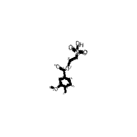 COc1cc(C(=O)OCCS(=O)(=O)O)ccc1C